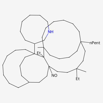 CCCCCC12CCCCCCC(C)(CCCC1)C1(CC)C(N=O)(CCC3CCCCCCCC1(C1CCCCCCNC1)CCC3)CCC(C)(CC)CC2